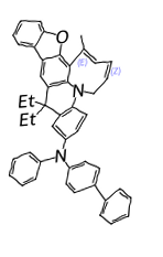 CCC1(CC)c2cc(N(c3ccccc3)c3ccc(-c4ccccc4)cc3)ccc2N2C/C=C\C=C(/C)c3c2c1cc1c3oc2ccccc21